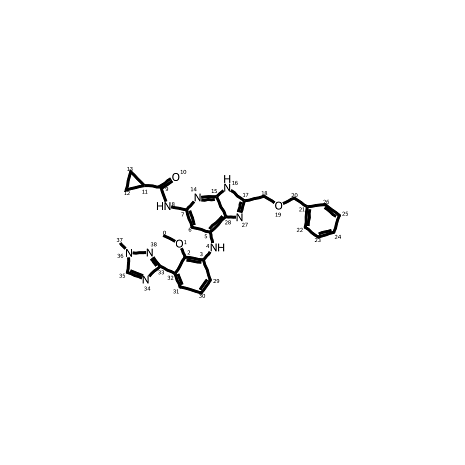 COc1c(Nc2cc(NC(=O)C3CC3)nc3[nH]c(COCc4ccccc4)nc23)cccc1-c1ncn(C)n1